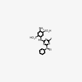 CCN(c1ccccc1)c1nc(F)nc(Nc2cc(S(=O)(=O)O)c(N)cc2S(=O)(=O)O)n1